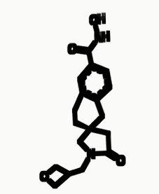 O=C(NO)c1ccc2c(c1)CC[C@]1(CC(=O)N(CC3COC3)C1)C2